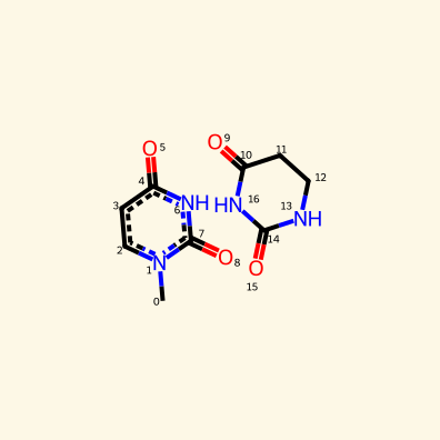 Cn1ccc(=O)[nH]c1=O.O=C1CCNC(=O)N1